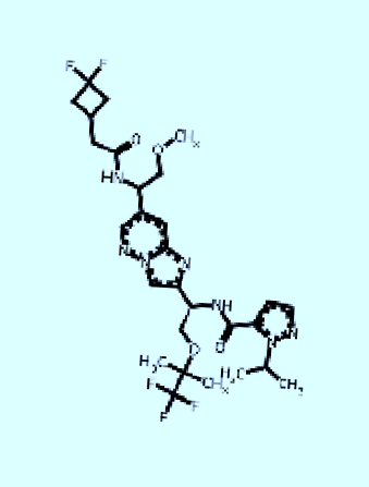 COCC(NC(=O)CC1CC(F)(F)C1)c1cnn2cc([C@H](COC(C)(C)C(F)(F)F)NC(=O)c3ccnn3C(C)C)nc2c1